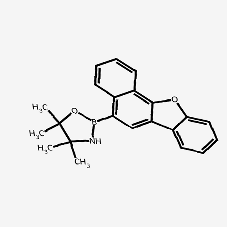 CC1(C)NB(c2cc3c4ccccc4oc3c3ccccc23)OC1(C)C